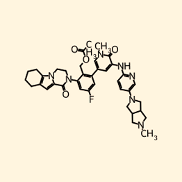 CC(=O)OCc1c(-c2cc(Nc3ccc(N4CC5CN(C)CC5C4)cn3)c(=O)n(C)c2)cc(F)cc1N1CCn2c(cc3c2CCCC3)C1=O